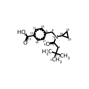 CC(C)(C)CC(=O)N(Cc1ccc(C(=O)O)cc1)C1CC1